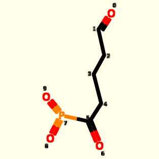 O=CCCCC(=O)P(=O)=O